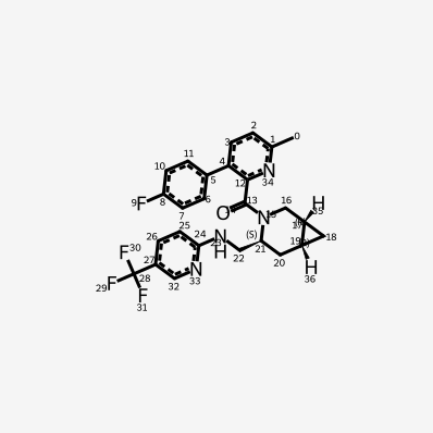 Cc1ccc(-c2ccc(F)cc2)c(C(=O)N2C[C@@H]3C[C@@H]3C[C@H]2CNc2ccc(C(F)(F)F)cn2)n1